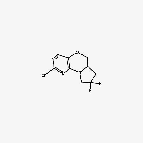 FC1(F)CC2COc3cnc(Cl)nc3N2C1